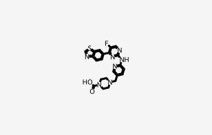 O=C(O)N1CCN(Cc2ccc(Nc3ncc(F)c(-c4ccc5ncsc5c4)n3)nc2)CC1